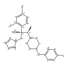 Cc1ccc(OC2CCN([C@H](C)[C@](O)(Cn3cncn3)c3ccc(F)cc3F)CC2)nc1